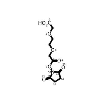 O=C(O)COCCOCC(=O)ON1C(=O)CCC1=O